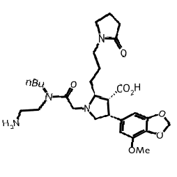 CCCCN(CCN)C(=O)CN1C[C@H](c2cc(OC)c3c(c2)OCO3)[C@@H](C(=O)O)[C@@H]1CCCN1CCCC1=O